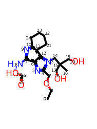 CCOCc1nc2c(N)nc3c(c2n1CC(C)(CO)CO)CCCC3.O=CO